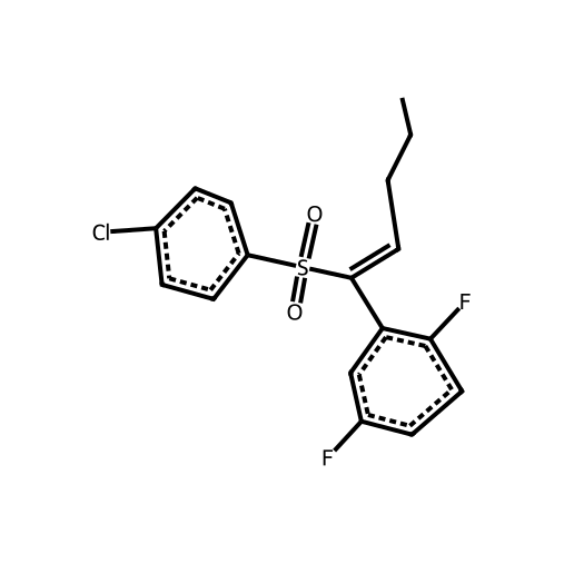 CCCC=C(c1cc(F)ccc1F)S(=O)(=O)c1ccc(Cl)cc1